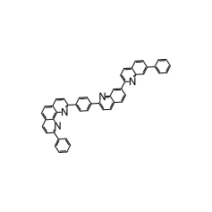 c1ccc(-c2ccc3ccc(-c4ccc5ccc(-c6ccc(-c7ccc8ccc9ccc(-c%10ccccc%10)nc9c8n7)cc6)nc5c4)nc3c2)cc1